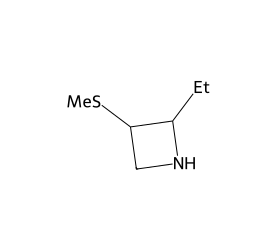 CCC1NCC1SC